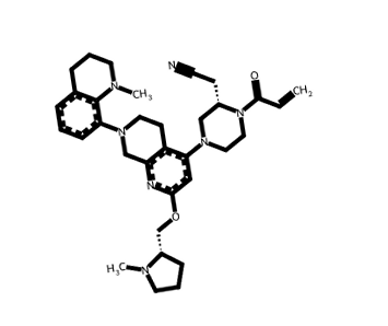 C=CC(=O)N1CCN(c2cc(OC[C@@H]3CCCN3C)nc3c2CCN(c2cccc4c2N(C)CCC4)C3)C[C@@H]1CC#N